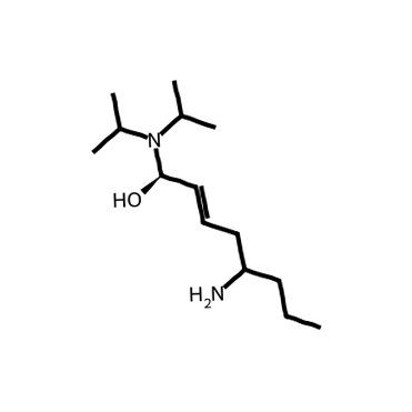 CCCC(N)C/C=C/[C@@H](O)N(C(C)C)C(C)C